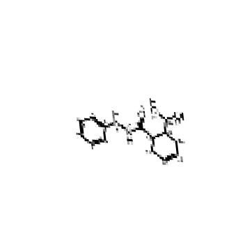 O=C(NNc1ccccc1)C1CC=CCC1C(O)O